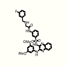 COc1cc(Nc2nc3ccccc3nc2NS(=O)(=O)c2cccc(NC(=O)CNCc3cccc(F)c3)c2)cc(OC)c1